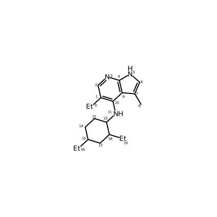 CCc1cnc2[nH]cc(C)c2c1NC1CCC(CC)CC1CC